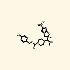 CNC(C1CCN(C(=O)OCc2ccc(Cl)cc2)CC1)[C@]1(C)Cn2cc([N+](=O)[O-])nc2O1